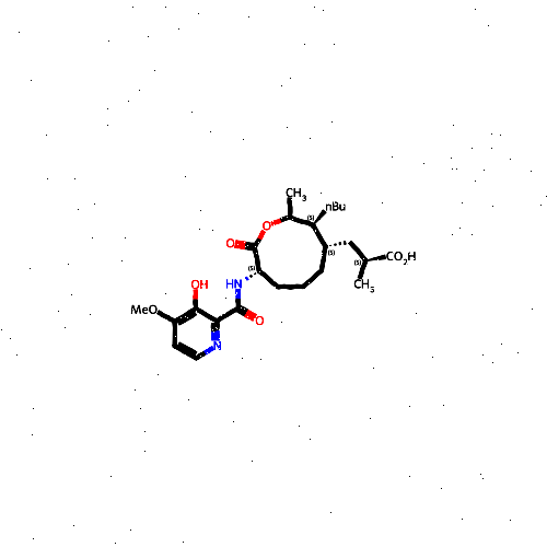 CCCC[C@@H]1C(C)OC(=O)[C@@H](NC(=O)c2nccc(OC)c2O)CCC[C@H]1C[C@H](C)C(=O)O